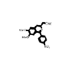 COc1cc2cc(COC(C)=O)nc(-c3ccc([N+](=O)[O-])cc3)c2cc1OC